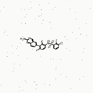 Nc1ncc2cc(-c3c(F)ccc(NS(=O)(=O)c4cccc(Cl)c4F)c3F)ccc2n1